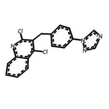 Clc1nc2ccccc2c(Cl)c1Cc1ccc(-n2cncn2)cc1